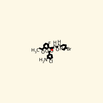 CCC(=O)c1ccc(F)c([C@@H]2C[C@@H]2NC(=O)Nc2ccc(Br)cn2)c1OC(=O)c1ccc(Cl)c(N)c1